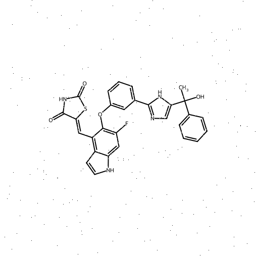 CC(O)(c1ccccc1)c1cnc(-c2cccc(Oc3c(F)cc4[nH]ccc4c3C=C3SC(=O)NC3=O)c2)[nH]1